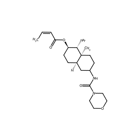 C/C=C\C(=O)O[C@@H]1CC[C@@H]2CC(NC(=O)N3CCOCC3)CC[C@]2(C)[C@H]1CCC